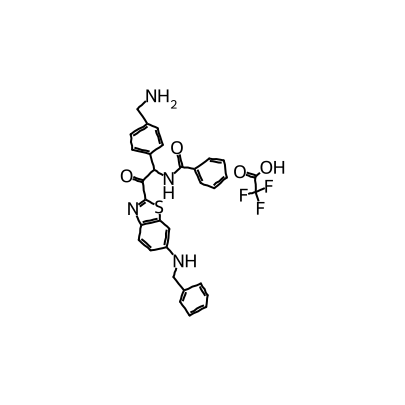 NCc1ccc(C(NC(=O)c2ccccc2)C(=O)c2nc3ccc(NCc4ccccc4)cc3s2)cc1.O=C(O)C(F)(F)F